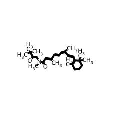 CC1=C(/C=C/C(C)=C\C=C\C(C)=C\C(=O)N(C)CC(=O)C(C)(C)C)C(C)(C)CCC1